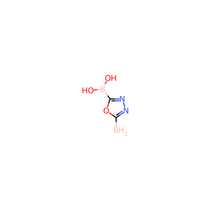 Bc1nnc(B(O)O)o1